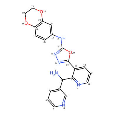 NC(c1cccnc1)c1ncccc1-c1nnc(Nc2ccc3c(c2)OCCO3)o1